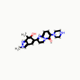 Cc1c(O)c(-c2ccn3c(=O)c(N4CCNCC4)ccc3n2)cc2cn(C)nc12